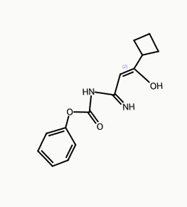 N=C(/C=C(\O)C1CCC1)NC(=O)Oc1ccccc1